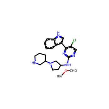 CC(C)(C)OC=O.Clc1cnc(NC2CCN(C3CCCNC3)C2)nc1-c1c[nH]c2ccccc12